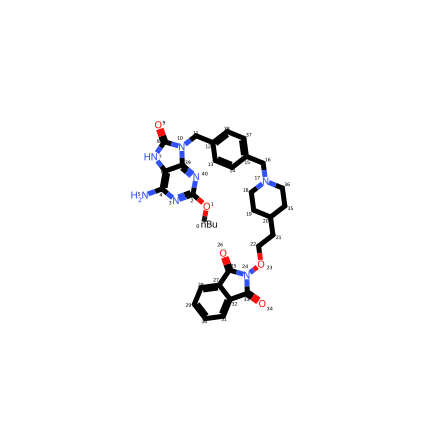 CCCCOc1nc(N)c2[nH]c(=O)n(Cc3ccc(CN4CCC(CCON5C(=O)c6ccccc6C5=O)CC4)cc3)c2n1